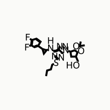 CCCCSc1nc(NC2CC2c2ccc(F)c(F)c2)c2nnn(C3CC(CO)C4OC(C)(C)OC43)c2n1